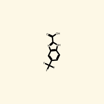 O=C(O)c1nc2cc(C(F)(F)F)ccc2[nH]1